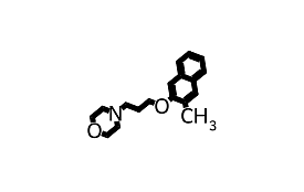 Cc1cc2ccccc2cc1OCCCN1CCOCC1